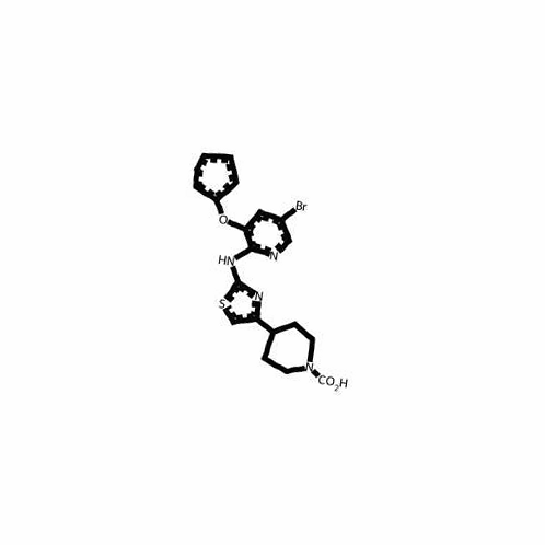 O=C(O)N1CCC(c2csc(Nc3ncc(Br)cc3Oc3ccccc3)n2)CC1